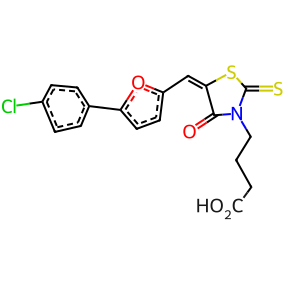 O=C(O)CCCN1C(=O)/C(=C\c2ccc(-c3ccc(Cl)cc3)o2)SC1=S